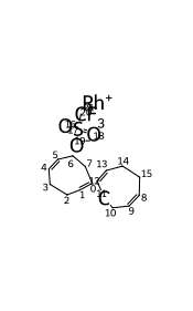 C1=C\CC/C=C\CC/1.C1=C\CC/C=C\CC/1.O=S(=O)([O-])C(F)(F)F.[Rh+]